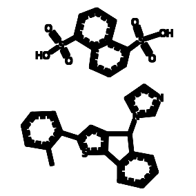 Cc1ccccc1-c1cc2c(s1)-c1ccccc1C2n1ccnc1.O=S(=O)(O)c1cccc2c(S(=O)(=O)O)cccc12